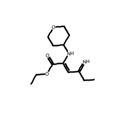 CCOC(=O)/C(=C/C(=N)CC)NC1CCOCC1